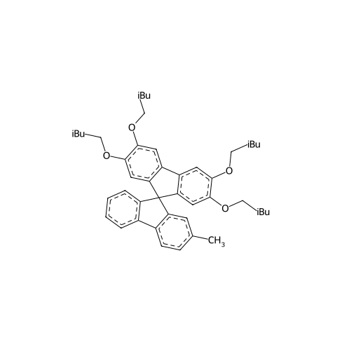 CCC(C)COc1cc2c(cc1OCC(C)CC)C1(c3ccccc3-c3ccc(C)cc31)c1cc(OCC(C)CC)c(OCC(C)CC)cc1-2